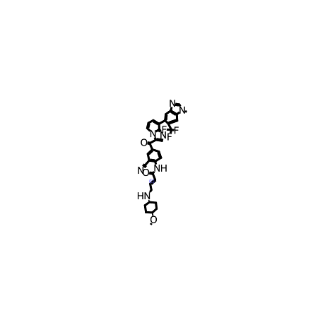 CO[C@H]1CC[C@H](NC/C=C/C(=O)Nc2ccc(C(=O)c3cnc4c(-c5cc6ncn(C)c6cc5C(F)(F)F)cccn34)cc2C#N)CC1